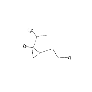 CCC1(C(C)C(F)(F)F)CC1CCCl